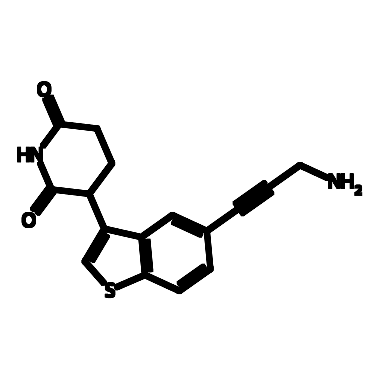 NCC#Cc1ccc2scc(C3CCC(=O)NC3=O)c2c1